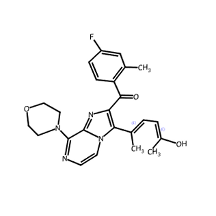 C/C(O)=C\C=C(/C)c1c(C(=O)c2ccc(F)cc2C)nc2c(N3CCOCC3)nccn12